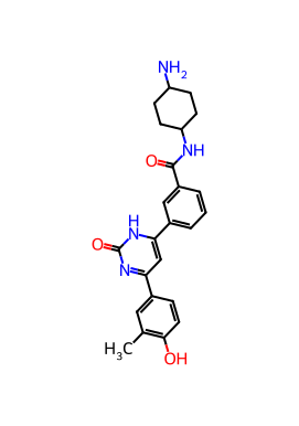 Cc1cc(-c2cc(-c3cccc(C(=O)NC4CCC(N)CC4)c3)[nH]c(=O)n2)ccc1O